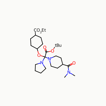 CCOC(=O)C1CCC(OC(C(=O)OC(C)(C)C)(N2CCCC2)N2CCC(C(=O)N(C)C)CC2)CC1